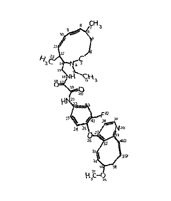 CCN1CCCC(C)/C=C\C=C/C(C)C1CNC(=O)C(=O)Nc1ccc(Oc2ccnc3c2/C=C\C(OC)CCC3)c(F)c1